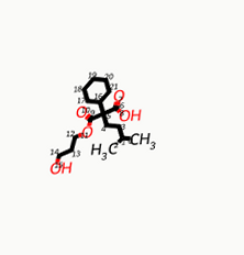 CC(C)CCC(C(=O)O)(C(=O)OCCCO)C1CCCCC1